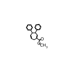 COC(=O)C1=CC(c2ccccc2)C(c2ccccc2)C=CC1